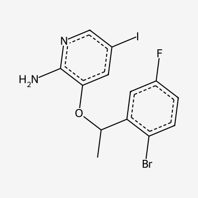 CC(Oc1cc(I)cnc1N)c1cc(F)ccc1Br